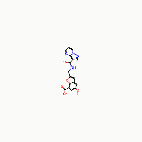 COc1cc(C(=O)O)c2oc(CNC(=O)c3cnn4cccnc34)cc2c1